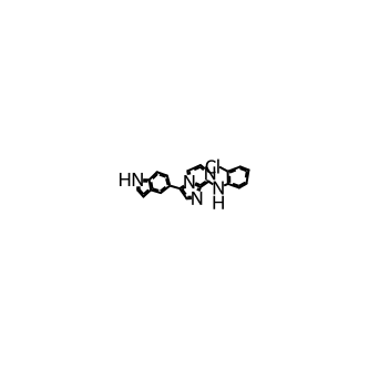 Clc1ccccc1Nc1nccn2c(-c3ccc4[nH]ccc4c3)cnc12